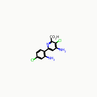 Nc1cc(Cl)ccc1-c1cc(N)c(Cl)c(C(=O)O)n1